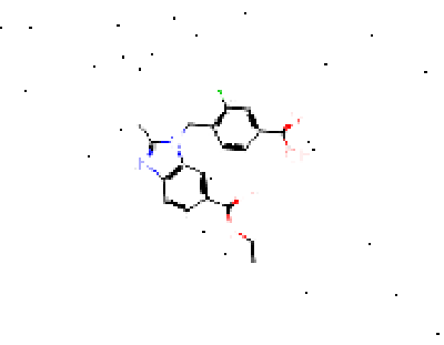 CCOC(=O)c1ccc2nc(C)n(Cc3ccc(C(=O)O)cc3Cl)c2c1